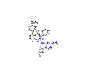 COc1ncc(-c2cccc3cc([C@H](C)Nc4nc(N)ncc4-c4csc(C)n4)n(-c4ccccc4)c(=O)c23)cn1